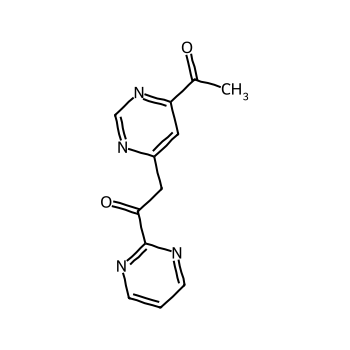 CC(=O)c1cc(CC(=O)c2ncccn2)ncn1